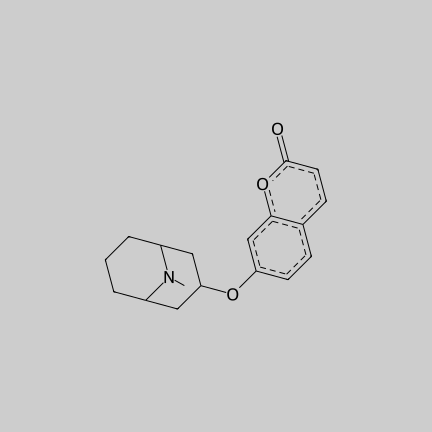 CN1C2CCCC1CC(Oc1ccc3ccc(=O)oc3c1)C2